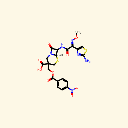 CON=C(C(=O)NC1C(=O)N2CC(COC(=O)c3ccc([N+](=O)[O-])cc3)(C(=O)O)CS[C@H]12)c1csc(N)n1